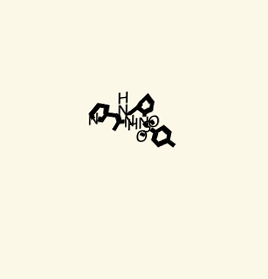 Cc1ccc(S(=O)(=O)Nc2ccccc2-c2nc(C)c(-c3cccnc3)[nH]2)cc1